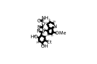 CCc1cc(-c2nnc(OC(N)=O)n2-c2ccc(OC)c3ncccc23)c(O)cc1O